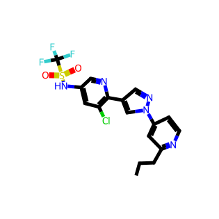 CCCc1cc(-n2cc(-c3ncc(NS(=O)(=O)C(F)(F)F)cc3Cl)cn2)ccn1